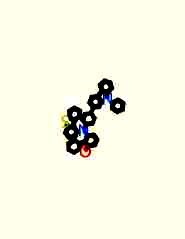 C1=Cc2c(oc3cccc(N(C4=CCC(c5ccc6c7ccccc7n(-c7ccccc7)c6c5)C=C4)c4cccc5sc6ccccc6c45)c23)CC1